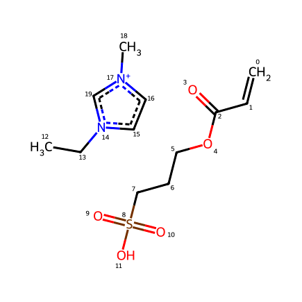 C=CC(=O)OCCCS(=O)(=O)O.CCn1cc[n+](C)c1